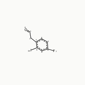 O=CCc1ccc(F)cc1I